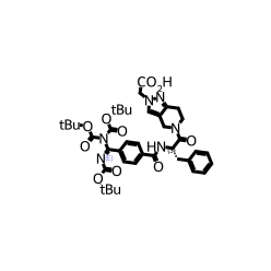 CC(C)(C)OC(=O)/N=C(\c1ccc(C(=O)N[C@@H](Cc2ccccc2)C(=O)N2CCc3nn(CC(=O)O)cc3C2)cc1)N(C(=O)OC(C)(C)C)C(=O)OC(C)(C)C